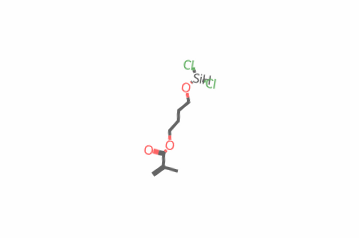 C=C(C)C(=O)OCCCCO[SiH](Cl)Cl